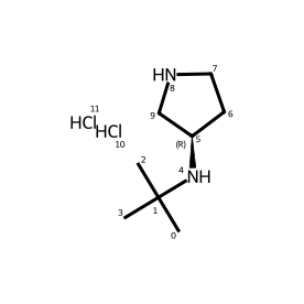 CC(C)(C)N[C@@H]1CCNC1.Cl.Cl